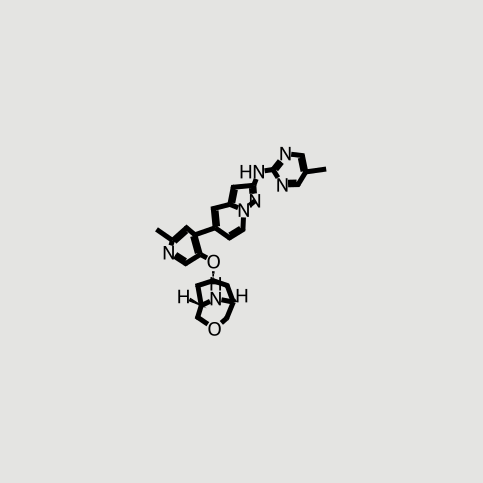 Cc1cnc(Nc2cc3cc(-c4cc(C)ncc4O[C@H]4C[C@H]5COC[C@@H](C4)N5)ccn3n2)nc1